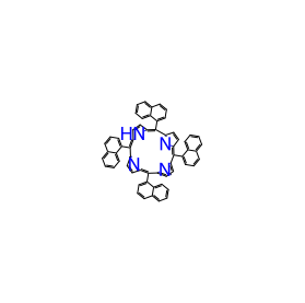 Cn1c2ccc1c(-c1cccc3ccccc13)c1nc(c(-c3cccc4ccccc34)c3ccc([nH]3)c(-c3cccc4ccccc34)c3nc(c2-c2cccc4ccccc24)C=C3)C=C1